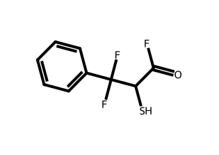 O=C(F)C(S)C(F)(F)c1ccccc1